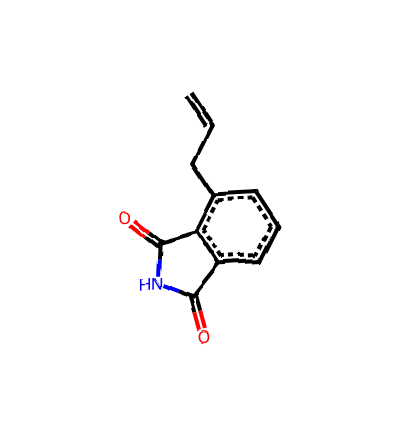 C=CCc1cccc2c1C(=O)NC2=O